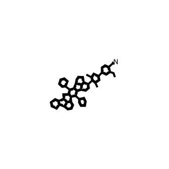 CCc1cc(-c2cc(C)c(-c3ccc4c5c(-c6ccccc6)c6c(cc7c8ccccc8c8cccc6c87)c(-c6ccccc6)c5c5cccc3c54)c(C)c2)ccc1C#N